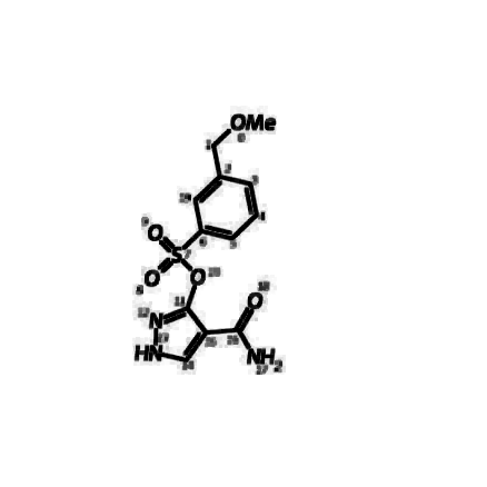 COCc1cccc(S(=O)(=O)Oc2n[nH]cc2C(N)=O)c1